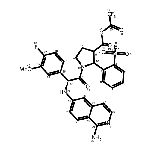 CCS(=O)(=O)c1ccccc1C1C(C(=O)OC(=O)C(F)(F)F)CCN1C(=O)[C@@H](Nc1ccc2c(N)nccc2c1)c1ccc(F)c(OC)c1